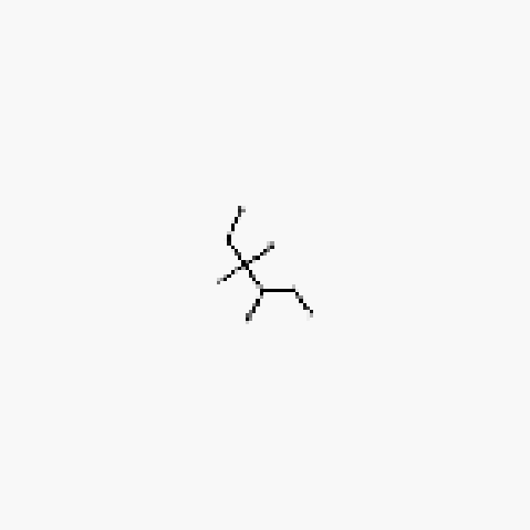 FCC(F)C(F)(F)CF